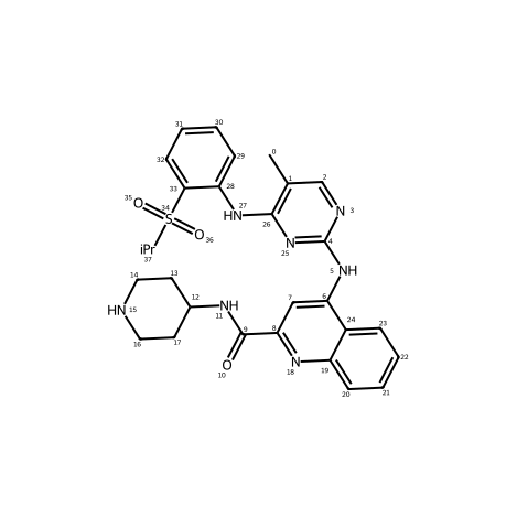 Cc1cnc(Nc2cc(C(=O)NC3CCNCC3)nc3ccccc23)nc1Nc1ccccc1S(=O)(=O)C(C)C